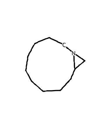 C1CCCCC2CN2CCCC1